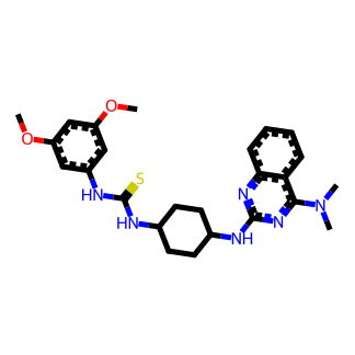 COc1cc(NC(=S)NC2CCC(Nc3nc(N(C)C)c4ccccc4n3)CC2)cc(OC)c1